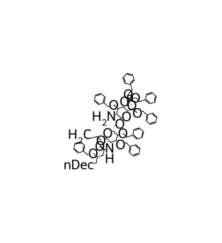 C=CCO[C@H]1O[C@H](CO[C@@H]2O[C@H](COCc3ccccc3)[C@@H](OP(=O)(OCc3ccccc3)OCc3ccccc3)[C@H](OCc3ccccc3)[C@H]2N)[C@@H](OCc2ccccc2)[C@H](OCc2ccccc2)[C@H]1NC(=O)C[C@@H](CCCCCCCCCCC)OCc1ccccc1